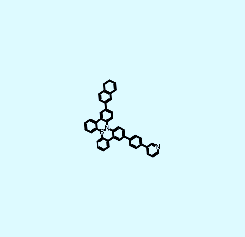 C1=Cc2cc(-c3ccc4c(c3)-c3ccccc3B3c5ccccc5-c5cc(-c6ccc(-c7cccnc7)cc6)ccc5N34)ccc2CC1